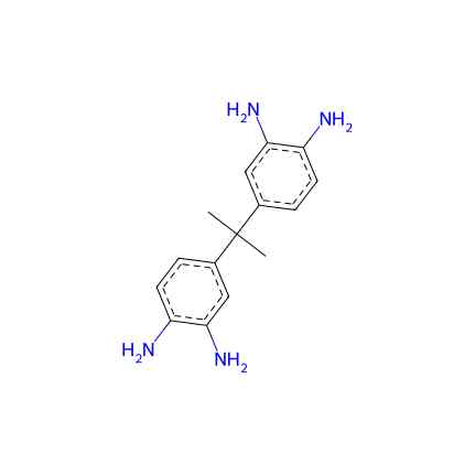 CC(C)(c1ccc(N)c(N)c1)c1ccc(N)c(N)c1